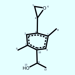 Cc1cc(C2CO2)c(C)cc1C(C)O